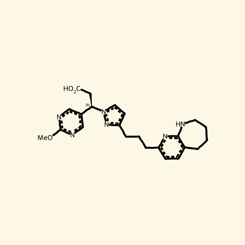 COc1ncc([C@@H](CC(=O)O)n2ccc(CCCc3ccc4c(n3)NCCCC4)n2)cn1